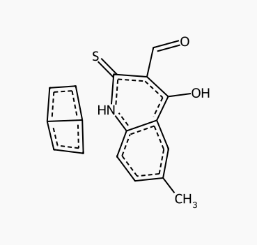 Cc1ccc2[nH]c(=S)c(C=O)c(O)c2c1.c1cc2ccc1-2